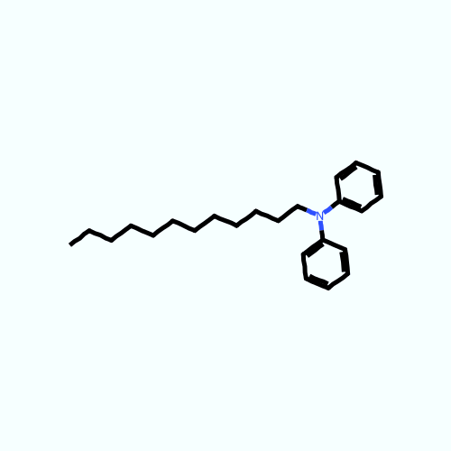 CCCCCCCCCCCCN(c1ccccc1)c1ccccc1